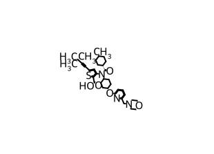 CC(C)(C)C#Cc1cc(N(C(=O)[C@H]2CC[C@H](C)CC2)[C@H]2CC[C@H](Oc3cccc(CN4CCOCC4)n3)CC2)c(C(=O)O)s1